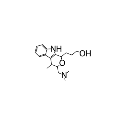 CC1c2c([nH]c3ccccc23)C(CCCO)OC1CN(C)C